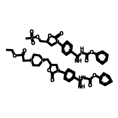 CCOC(=O)CN1CCN(CC2CN(c3ccc(C(=N)NC(=O)Oc4ccccc4)cc3)C(=O)O2)CC1.CS(=O)(=O)OCC1CN(c2ccc(C(=N)NC(=O)Oc3ccccc3)cc2)C(=O)O1